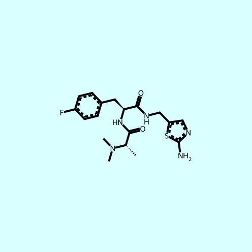 C[C@@H](C(=O)N[C@@H](Cc1ccc(F)cc1)C(=O)NCc1cnc(N)s1)N(C)C